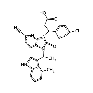 Cc1cccc2[nH]cc(C(C)n3c(=O)n(C(CC(=O)O)c4ccc(Cl)cc4)c4nc(C#N)ccc43)c12